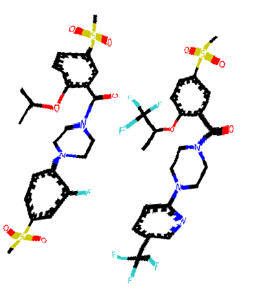 CC(C)Oc1ccc(S(C)(=O)=O)cc1C(=O)N1CCN(c2ccc(S(C)(=O)=O)cc2F)CC1.CC(Oc1ccc(S(C)(=O)=O)cc1C(=O)N1CCN(c2ccc(C(F)(F)F)cn2)CC1)C(F)(F)F